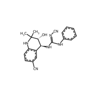 CC1(C)Nc2ccc(C#N)cc2[C@H](NC(=NC#N)Nc2ccccc2)[C@H]1O